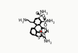 NCCc1cc(S(N)(=O)=O)c(S(N)(=O)=O)c(-c2nn[nH]n2)c1-c1cccc2sc(CN)nc12